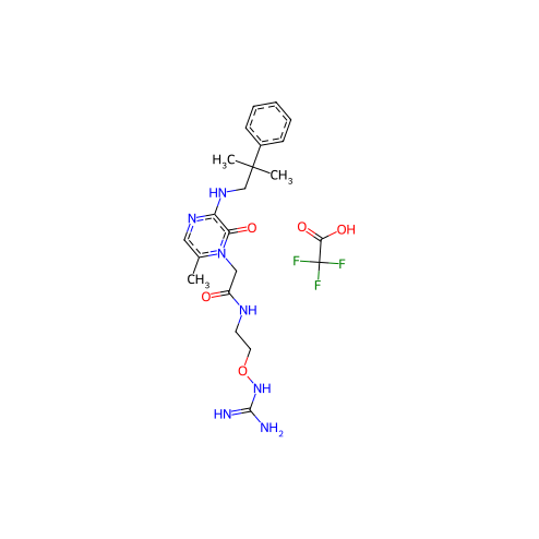 Cc1cnc(NCC(C)(C)c2ccccc2)c(=O)n1CC(=O)NCCONC(=N)N.O=C(O)C(F)(F)F